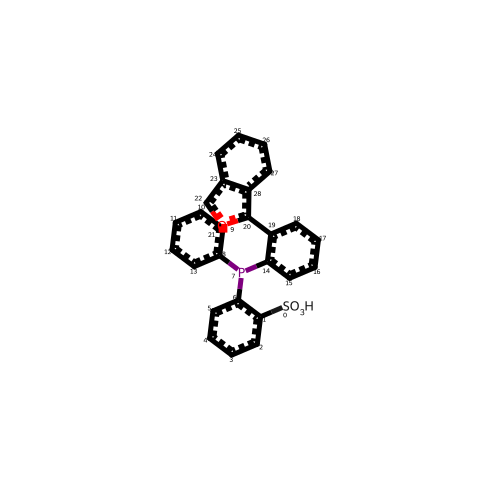 O=S(=O)(O)c1ccccc1P(c1ccccc1)c1ccccc1-c1occ2ccccc12